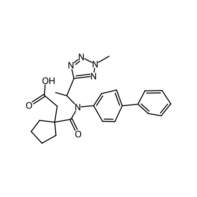 CC(c1nnn(C)n1)N(C(=O)C1(CC(=O)O)CCCC1)c1ccc(-c2ccccc2)cc1